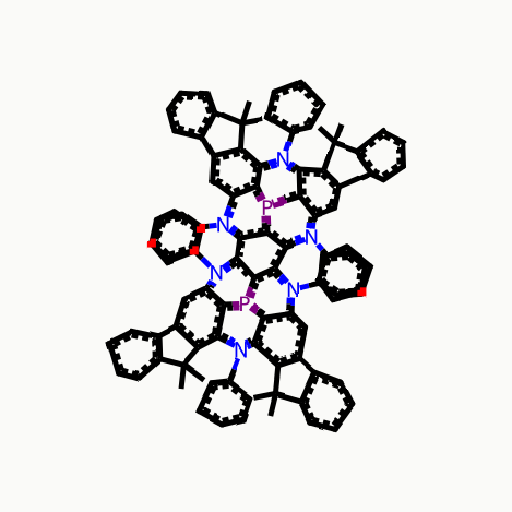 CC1(C)c2ccccc2-c2cc3c4c(c21)n(-c1ccccc1)c1c2c(cc5c1p4c1c(c4c6c(c1n5-c1ccccc1)n(-c1ccccc1)c1cc5c(c7c1p6c1c(cc6c(c1n7-c1ccccc1)C(C)(C)c1ccccc1-6)n4-c1ccccc1)C(C)(C)c1ccccc1-5)n3-c1ccccc1)-c1ccccc1C2(C)C